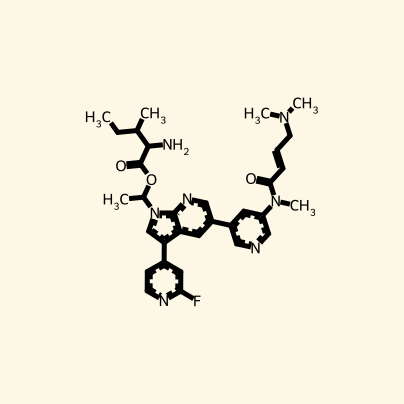 CCC(C)C(N)C(=O)OC(C)n1cc(-c2ccnc(F)c2)c2cc(-c3cncc(N(C)C(=O)/C=C/CN(C)C)c3)cnc21